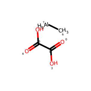 O=C(O)C(=O)O.[CH3][AlH2]